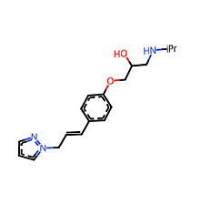 CC(C)NCC(O)COc1ccc(C=CCn2cccn2)cc1